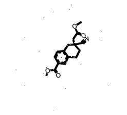 COC(=O)CC1(C#N)CCc2cc(C(=O)OC)ccc2C1